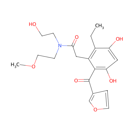 CCc1c(O)cc(O)c(C(=O)c2ccoc2)c1CC(=O)N(CCO)CCOC